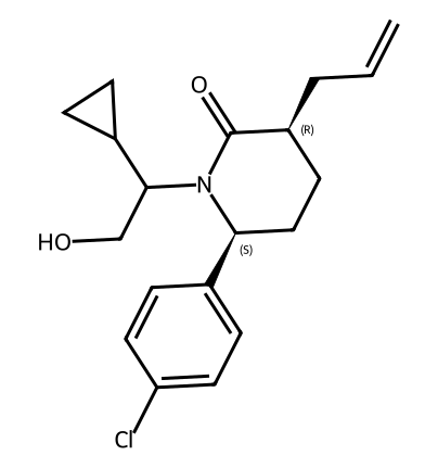 C=CC[C@H]1CC[C@@H](c2ccc(Cl)cc2)N(C(CO)C2CC2)C1=O